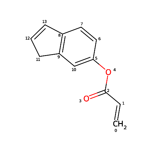 C=CC(=O)Oc1ccc2c(c1)CC=C2